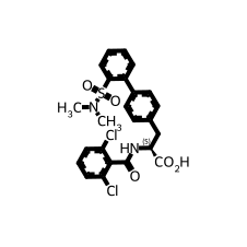 CN(C)S(=O)(=O)c1ccccc1-c1ccc(C[C@H](NC(=O)c2c(Cl)cccc2Cl)C(=O)O)cc1